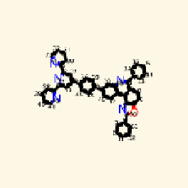 c1ccc(-c2nc3c(ccc4c(-c5ccccc5)nc5cc(-c6ccc(-c7cc(-c8ccccn8)nc(-c8ccccn8)c7)cc6)ccc5c43)o2)cc1